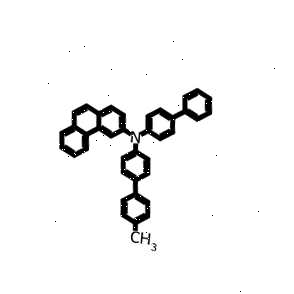 Cc1ccc(-c2ccc(N(c3ccc(-c4ccccc4)cc3)c3ccc4ccc5ccccc5c4c3)cc2)cc1